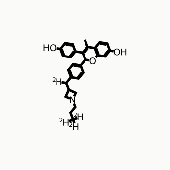 [2H]C(c1ccc(C2Oc3cc(O)ccc3C(C)=C2c2ccc(O)cc2)cc1)C1CN(CCC([2H])([2H])[2H])C1